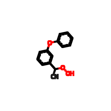 N#CC(OO)c1cccc(Oc2ccccc2)c1